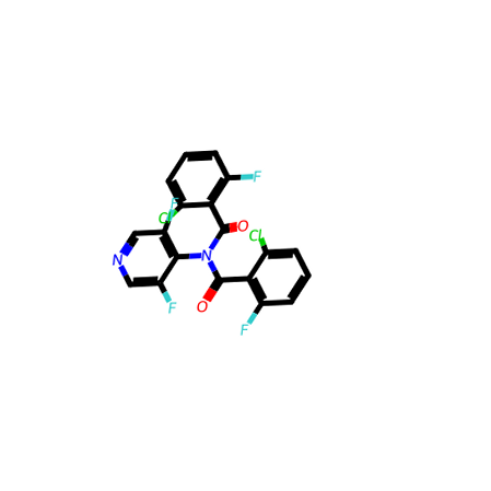 O=C(c1c(F)cccc1Cl)N(C(=O)c1c(F)cccc1Cl)c1c(F)cncc1F